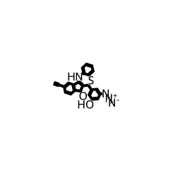 C#Cc1ccc2c(c1)C1=C(C2=O)C(c2cc(O)cc(N=[N+]=[N-])c2)Sc2ccccc2N1